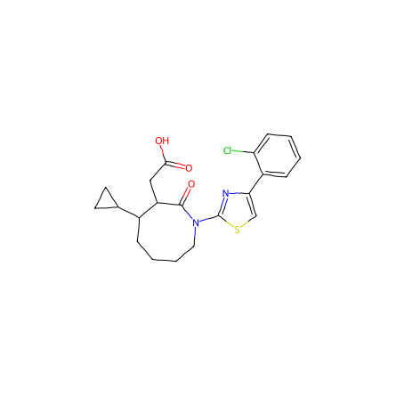 O=C(O)CC1C(=O)N(c2nc(-c3ccccc3Cl)cs2)CCCCC1C1CC1